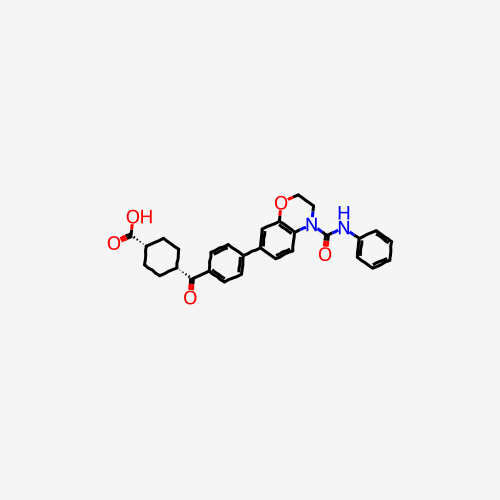 O=C(Nc1ccccc1)N1CCOc2cc(-c3ccc(C(=O)[C@H]4CC[C@@H](C(=O)O)CC4)cc3)ccc21